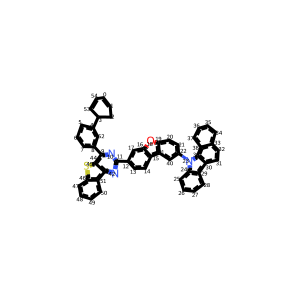 C1=CCC(c2cccc(-c3nc(-c4ccc5c(c4)oc4ccc(-n6c7ccccc7c7ccc8ccccc8c76)cc45)nc4c3sc3ccccc34)c2)C=C1